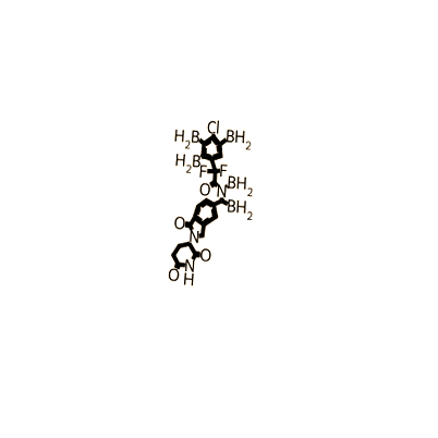 Bc1cc(C(F)(F)C(=O)N(B)C(B)c2ccc3c(c2)CN(C2CCC(=O)NC2=O)C3=O)c(B)c(B)c1Cl